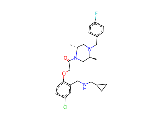 C[C@@H]1CN(Cc2ccc(F)cc2)[C@@H](C)CN1C(=O)COc1ccc(Cl)cc1CNCC1CC1